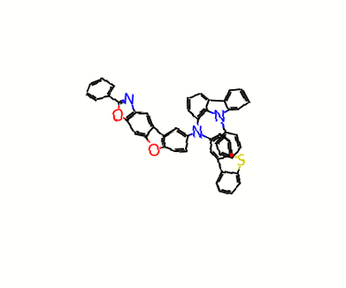 c1ccc(-c2nc3cc4c(cc3o2)oc2ccc(N(c3ccc5sc6ccccc6c5c3)c3cccc5c6ccccc6n(-c6ccccc6)c35)cc24)cc1